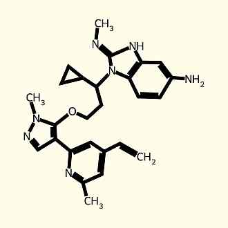 C=Cc1cc(C)nc(-c2cnn(C)c2OCCC(C2CC2)n2/c(=N/C)[nH]c3cc(N)ccc32)c1